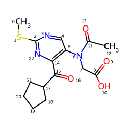 CSc1ncc(N(CC(=O)O)C(C)=O)c(C(=O)C2CCCC2)n1